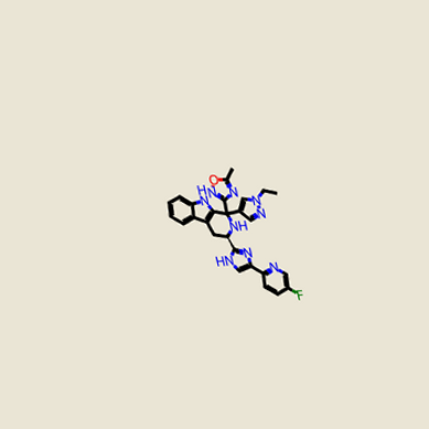 CCn1cc(C2(c3noc(C)n3)N[C@@H](c3nc(-c4ccc(F)cn4)c[nH]3)Cc3c2[nH]c2ccccc32)cn1